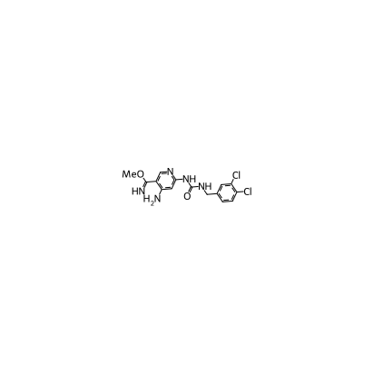 COC(=N)c1cnc(NC(=O)NCc2ccc(Cl)c(Cl)c2)cc1N